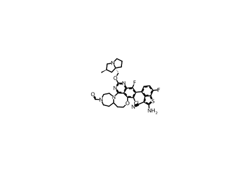 C[C@H]1CN2CCC[C@@]2(COc2nc3c4c(c(Cl)c(-c5ccc(F)c6sc(N)c(C#N)c56)c(F)c4n2)OCCC2CCN(C=O)CCN32)C1